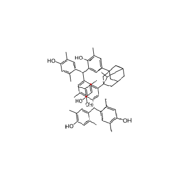 Cc1cc(C(c2cc(C)c(O)cc2C)c2cc(C34CC5CC(C3)C(C)C(c3cc(C)c(O)c(C(c6cc(C)c(O)cc6C)c6cc(C)c(O)cc6C)c3)(C5)C4)cc(C)c2O)c(C)cc1O